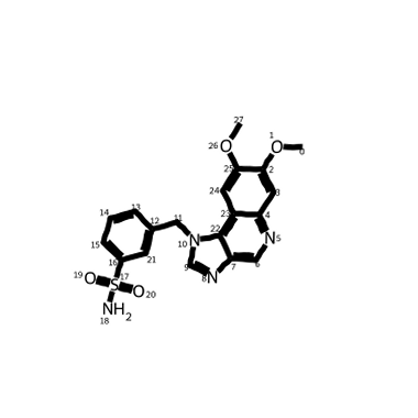 COc1cc2ncc3ncn(Cc4cccc(S(N)(=O)=O)c4)c3c2cc1OC